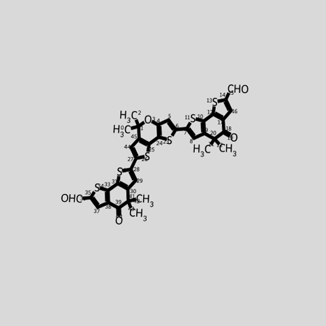 CC1(C)Oc2cc(-c3cc4c(s3)-c3sc(C=O)cc3C(=O)C4(C)C)sc2-c2sc(-c3cc4c(s3)-c3sc(C=O)cc3C(=O)C4(C)C)cc21